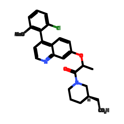 COc1cccc(Cl)c1-c1ccnc2cc(OC(C)C(=O)N3CCC[C@H](CC(=O)O)C3)ccc12